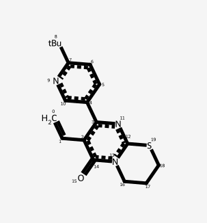 C=Cc1c(-c2ccc(C(C)(C)C)nc2)nc2n(c1=O)CCCS2